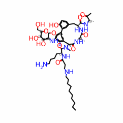 CCCCCCCCCCNCCC(=O)N[C@@H](CCCCN)C(=O)N(C)[C@@H]1C(=O)N[C@@H](C)C(=O)N[C@H](C(=O)N[C@@H](C)C(C)=O)Cc2ccc(O)c(c2)-c2cc1ccc2OC1O[C@H](CO)[C@@H](O)[C@H](O)[C@H]1N